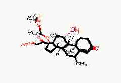 COC(C)O[C@]1(C(=O)CO)CC[C@H]2[C@@H]3C[C@H](C)C4=CC(=O)CC[C@]4(C)[C@H]3[C@@H](O)C[C@@]21C